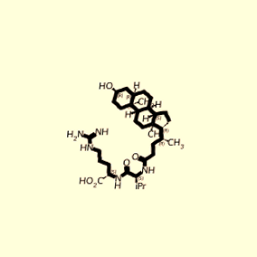 CC(C)[C@H](NC(=O)CC[C@@H](C)[C@H]1CC[C@H]2[C@@H]3CC[C@@H]4C[C@H](O)CC[C@]4(C)[C@H]3CC[C@]12C)C(=O)N[C@@H](CCCNC(=N)N)C(=O)O